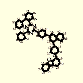 c1ccc(-c2nc(-c3ccc(-c4cc(-c5ccc(-c6cccc7c6oc6ccccc67)cc5)c5ccccc5c4)cc3)nc(-c3ccccc3-c3ccccc3)n2)cc1